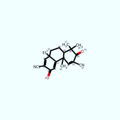 CCC12C=C(C#N)C(=O)C=C1C1(C)C=C(C#N)C(=O)C(C)(C)C1CC2